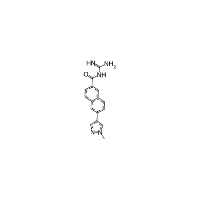 Cn1cc(-c2ccc3cc(C(=O)NC(=N)N)ccc3c2)cn1